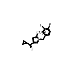 O=C(O)c1cc(C(=O)C2CC2)cn1Cc1ccc(F)c(F)c1